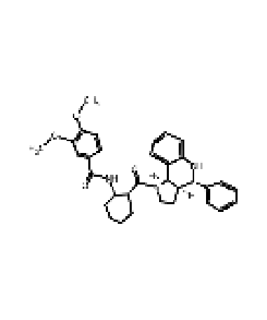 COc1ccc(C(=O)N[C@@H]2CCCC[C@@H]2C(=O)N2CC[C@@H]3[C@H](c4ccccc4)Nc4ccccc4[C@@H]32)cc1OC